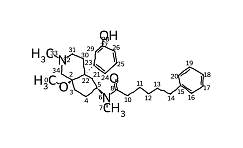 CO[C@]12CC[C@H](N(C)C(=O)CCCCCc3ccccc3)C[C@]1(c1cccc(O)c1)CCN(C)C2